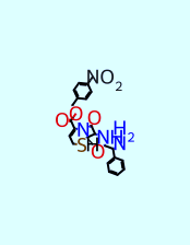 NC(C(=O)NC1C(=O)N2C(C(=O)OCc3ccc([N+](=O)[O-])cc3)=CCS[C@@H]12)c1ccccc1